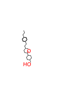 CCCc1ccc(CCC2CCC(C3CCC(CO)CC3)OC2)cc1